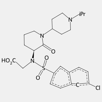 CC(C)N1CCC(N2CCC[C@H](N(CC(=O)O)S(=O)(=O)c3ccc4cc(Cl)ccc4c3)C2=O)CC1